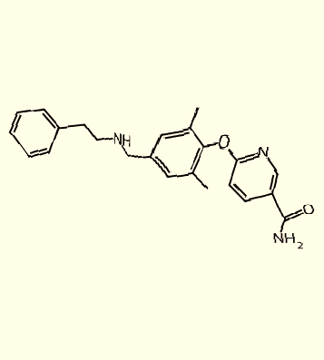 Cc1cc(CNCCc2ccccc2)cc(C)c1Oc1ccc(C(N)=O)cn1